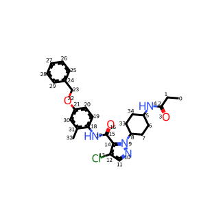 CCC(=O)NC1CCC(n2ncc(Cl)c2C(=O)Nc2ccc(OCc3ccccc3)cc2C)CC1